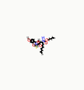 C=CCCCOC(=O)N[C@@H]1CC(CCCC=C)O[C@@](OC)([C@@H]2CSC(=O)N2Cc2ccc(OC)cc2)C1